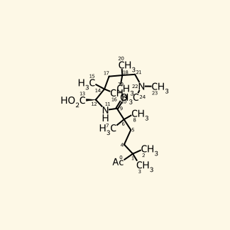 CC(=O)C(C)(C)CCC(C)(C)C(=O)N[C@@H](C(=O)O)C(C)(C)CC(C)(C)CN(C)C